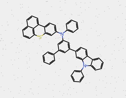 c1ccc(-c2cc(-c3ccc4c5ccccc5n(-c5ccccc5)c4c3)cc(N(c3ccccc3)c3ccc4c(c3)Sc3cccc5cccc-4c35)c2)cc1